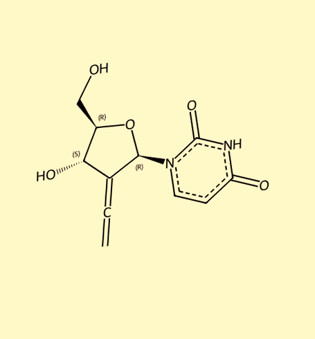 C=C=C1[C@H](n2ccc(=O)[nH]c2=O)O[C@H](CO)[C@H]1O